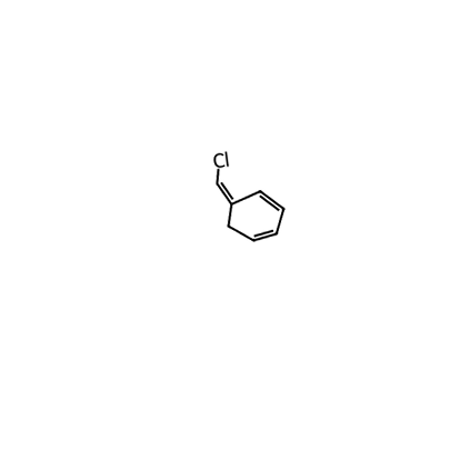 ClC=C1C=CC=CC1